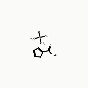 COC(=O)C1=CC=CC1.[Li][Si](C)(C)C